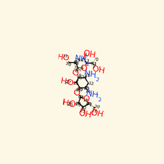 C[C@H](O)C(CO)O[C@H](O[C@@H]1C(N)C[C@@H](N)[C@@H](O[C@@H]2O[C@H](CO)C(O)[C@@H]2O)C1O)[C@H](N)CO